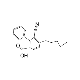 CCCCCc1ccc(C(=O)O)c(-c2ccccc2)c1C#N